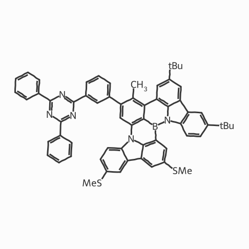 CSc1ccc2c(c1)c1cc(SC)cc3c1n2-c1cc(-c2cccc(-c4nc(-c5ccccc5)nc(-c5ccccc5)n4)c2)c(C)c2c1B3n1c3ccc(C(C)(C)C)cc3c3cc(C(C)(C)C)cc-2c31